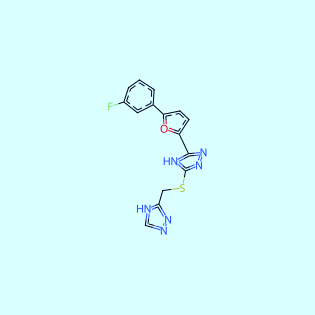 Fc1cccc(-c2ccc(-c3nnc(SCc4nnc[nH]4)[nH]3)o2)c1